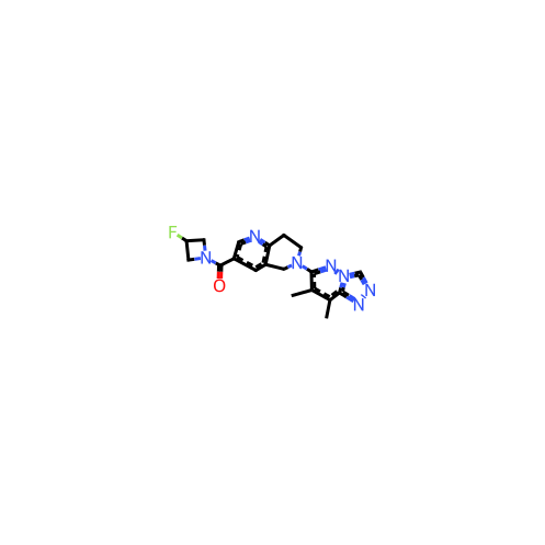 Cc1c(N2CCc3ncc(C(=O)N4CC(F)C4)cc3C2)nn2cnnc2c1C